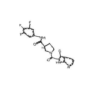 O=C(Nc1cc(F)c(F)c(F)c1)[C@H]1CCN(C(=O)c2[nH]c3ncccc3c2Cl)C1